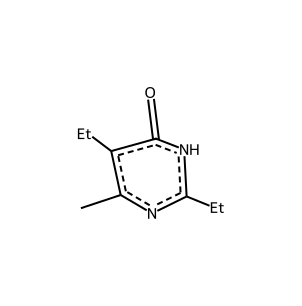 CCc1nc(C)c(CC)c(=O)[nH]1